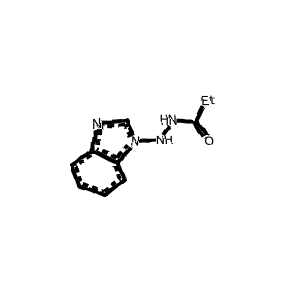 CCC(=O)NNn1cnc2ccccc21